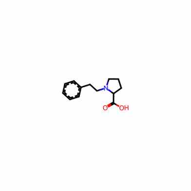 O=C(O)C1CCCN1CCc1ccccc1